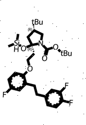 C[SiH](C)O[C@@]1(CCOc2ccc(F)cc2CCc2ccc(F)c(F)c2)C[C@H](C(C)(C)C)CN1C(=O)OC(C)(C)C